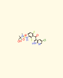 CN(C(C)(C)CO)S(=O)(=O)Nc1ccc(F)c(C(=O)c2c[nH]c3ncc(Cl)cc23)c1F